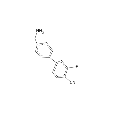 N#Cc1ccc(-c2ccc(CN)cc2)cc1F